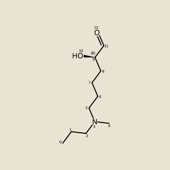 CCCN(C)CCCC[C@@H](O)C=O